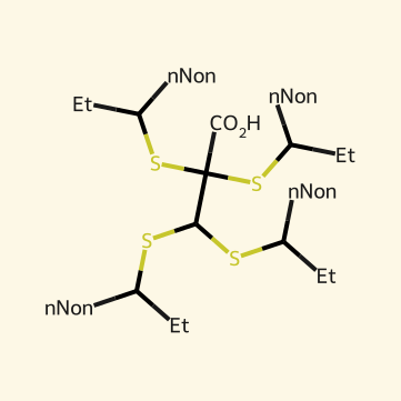 CCCCCCCCCC(CC)SC(SC(CC)CCCCCCCCC)C(SC(CC)CCCCCCCCC)(SC(CC)CCCCCCCCC)C(=O)O